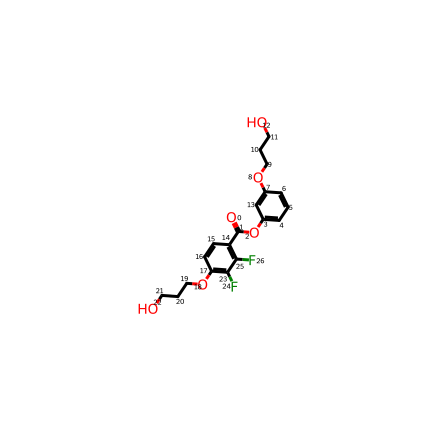 O=C(Oc1cccc(OCCCO)c1)c1ccc(OCCCO)c(F)c1F